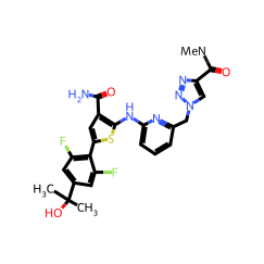 CNC(=O)c1cn(Cc2cccc(Nc3sc(-c4c(F)cc(C(C)(C)O)cc4F)cc3C(N)=O)n2)nn1